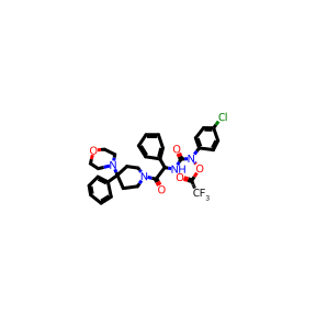 O=C(C(NC(=O)N(OC(=O)C(F)(F)F)c1ccc(Cl)cc1)c1ccccc1)N1CCC(c2ccccc2)(N2CCOCC2)CC1